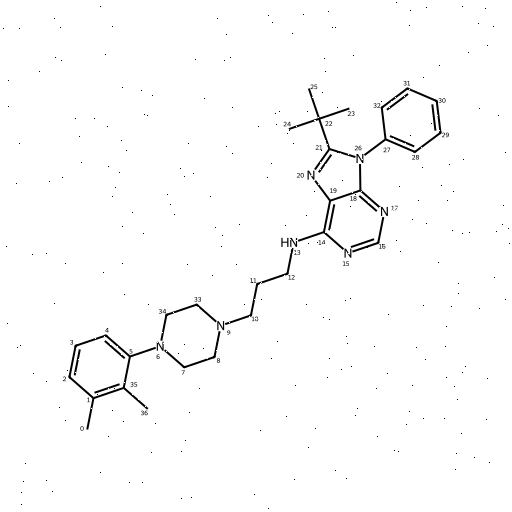 Cc1cccc(N2CCN(CCCNc3ncnc4c3nc(C(C)(C)C)n4-c3ccccc3)CC2)c1C